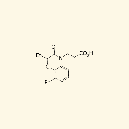 CCC1Oc2c(C(C)C)cccc2N(CCC(=O)O)C1=O